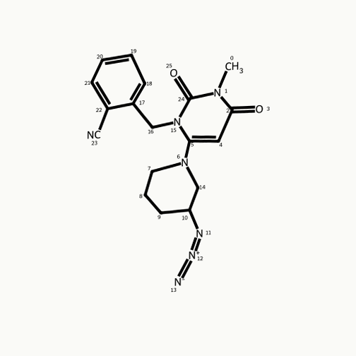 Cn1c(=O)cc(N2CCCC(N=[N+]=[N-])C2)n(Cc2ccccc2C#N)c1=O